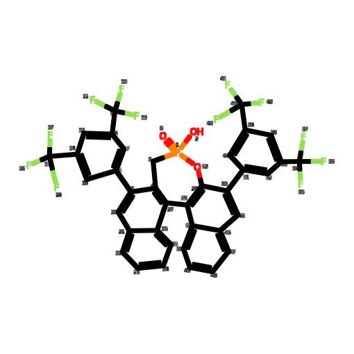 O=P1(O)Cc2c(-c3cc(C(F)(F)F)cc(C(F)(F)F)c3)cc3ccccc3c2-c2c(c(-c3cc(C(F)(F)F)cc(C(F)(F)F)c3)cc3ccccc23)O1